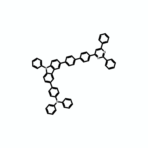 c1ccc(-c2cc(-c3ccc(-c4ccc(-c5ccc6c(c5)c5cc(-c7ccc(N(c8ccccc8)c8ccccc8)cc7)ccc5n6-c5ccccc5)cc4)cc3)nc(-c3ccccc3)n2)cc1